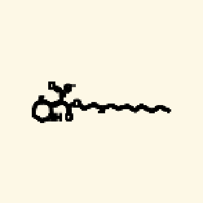 CCCCCCCCSCCOC(=O)/C(=C1\NCCCS1)[N+](=O)[O-]